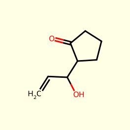 C=CC(O)C1CCCC1=O